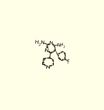 Nc1nc(N)c(-c2ccc(F)cc2)c(-c2ccncc2)n1